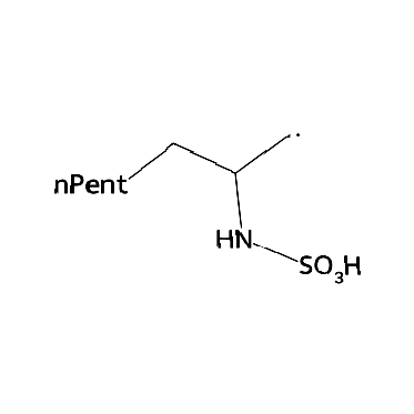 [CH2]C(CCCCCC)NS(=O)(=O)O